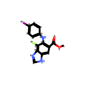 COC(=O)c1cc2[nH]cnc2c(F)c1Nc1ccc(I)cc1